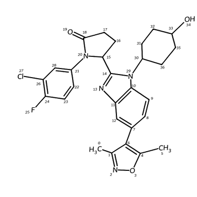 Cc1noc(C)c1-c1ccc2c(c1)nc(C1CCC(=O)N1c1ccc(F)c(Cl)c1)n2C1CCC(O)CC1